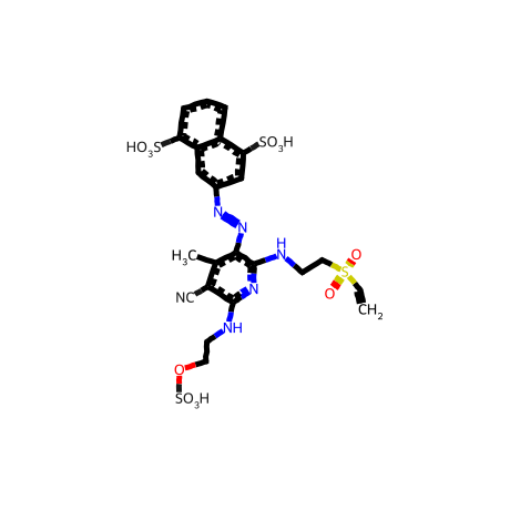 C=CS(=O)(=O)CCNc1nc(NCCOS(=O)(=O)O)c(C#N)c(C)c1/N=N/c1cc(S(=O)(=O)O)c2cccc(S(=O)(=O)O)c2c1